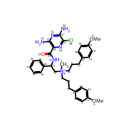 COc1ccc(CCC[N+](C)(CCCc2ccc(OC)cc2)CC(NC(=O)c2nc(Cl)c(N)nc2N)c2ccccc2)cc1